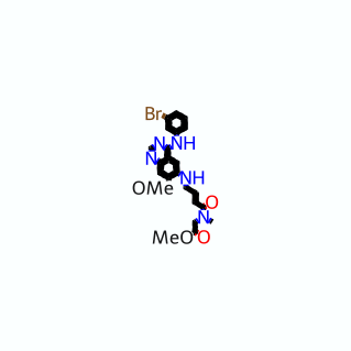 COC(=O)CN(C)C(=O)C=CCNc1cc2c(Nc3cccc(Br)c3)ncnc2cc1OC